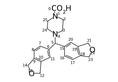 O=C(O)N1CCN(C(c2ccc3c(c2)COC3)c2ccc3c(c2)COC3)CC1